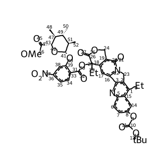 CCc1c2c(nc3ccc(OC(=O)OC(C)(C)C)cc13)-c1cc3c(c(=O)n1C2)COC(=O)[C@@]3(CC)OC(=O)c1ccc([N+](=O)[O-])cc1O[C@@H]1O[C@H](C(=O)OC)[C@@H](C)[C@H](C)[C@H]1C